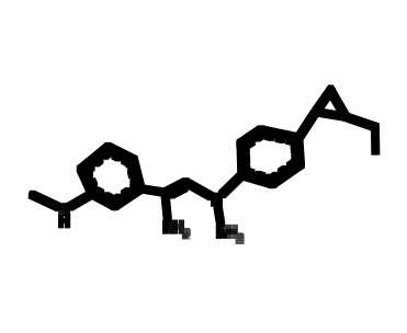 CCC1CC1c1ccc(N(N)/C=C(\N)c2cccc(NC)c2)cc1